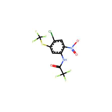 O=C(Nc1cc(SC(F)(F)F)c(Cl)cc1[N+](=O)[O-])C(F)(F)F